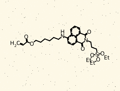 C=CC(=O)OCCCCCCNc1ccc2c3c(cccc13)C(=O)N(CCC[Si](OCC)(OCC)OCC)C2=O